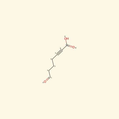 O=CCCCC#CC(=O)O